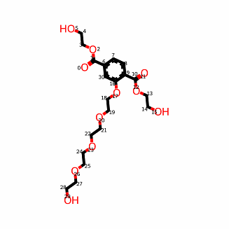 O=C(OCCO)c1ccc(C(=O)OCCO)c(OCCOCCOCCOCCO)c1